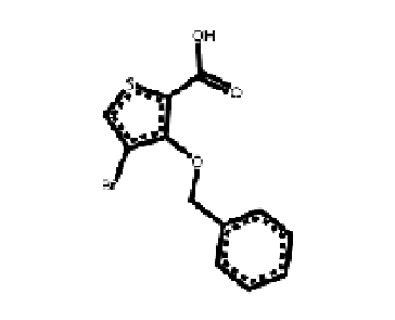 O=C(O)c1scc(Br)c1OCc1ccccc1